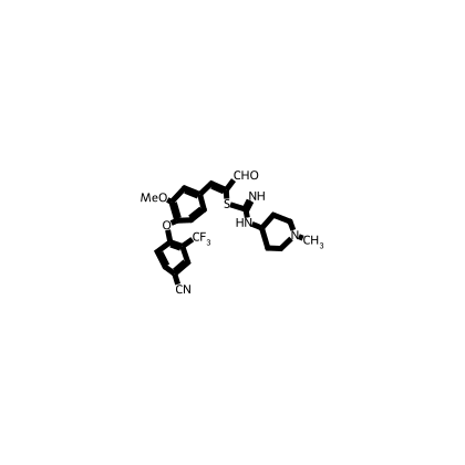 COc1cc(/C=C(/C=O)SC(=N)NC2CCN(C)CC2)ccc1Oc1ccc(C#N)cc1C(F)(F)F